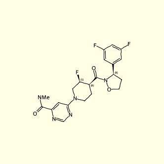 CNC(=O)c1cc(N2CC[C@H](C(=O)N3OCC[C@@H]3c3cc(F)cc(F)c3)[C@H](F)C2)ncn1